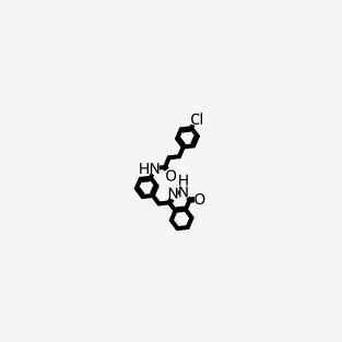 O=C(CCc1ccc(Cl)cc1)Nc1cccc(Cc2n[nH]c(=O)c3c2CCCC3)c1